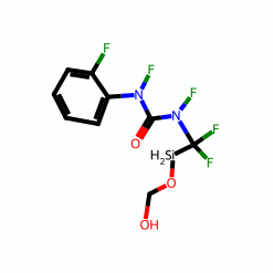 O=C(N(F)c1ccccc1F)N(F)C(F)(F)[SiH2]OCO